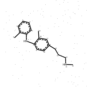 [CH2]c1ccccc1Nc1ccc(CCCNC)cc1[CH2]